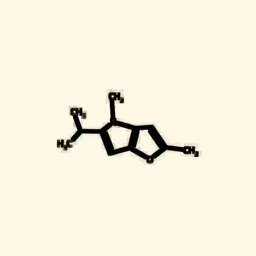 Cc1cc2c(cc(C(C)C)n2C)o1